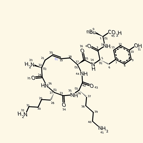 CCCC[C@H](NC(=O)[C@H](Cc1ccc(O)cc1)NC(=O)[C@@H]1C/C=C/C[C@H](N)C(=O)N[C@@H](CCCCN)C(=O)N[C@@H](CCCCN)C(=O)N1)C(=O)O